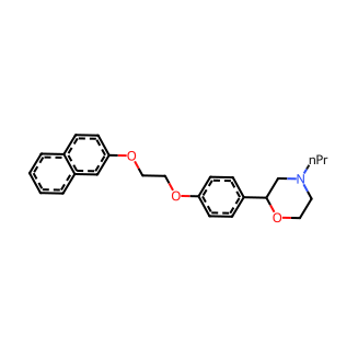 CCCN1CCOC(c2ccc(OCCOc3ccc4ccccc4c3)cc2)C1